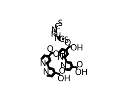 O=C(O)c1ccnc(-c2cc(C(=O)O)ccn2)c1.O=C(O)c1ccnc(-c2cc(C(=O)O)ccn2)c1.S=C=[N][Ru][N]=C=S